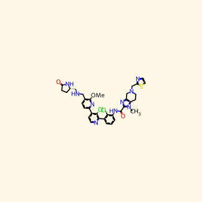 COc1nc(-c2ccnc(-c3cccc(NC(=O)c4nc5c(n4C)CCN(Cc4nccs4)C5)c3Cl)c2Cl)ccc1CNC[C@@H]1CCC(=O)N1